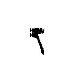 CCCCCCCCCCCCCCCCCCCCc1c(C(=O)O)cc(O)c(O)c1O